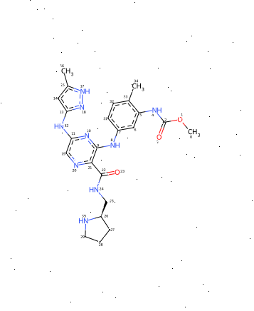 COC(=O)Nc1cc(Nc2nc(Nc3cc(C)[nH]n3)cnc2C(=O)NC[C@H]2CCCN2)ccc1C